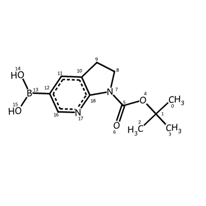 CC(C)(C)OC(=O)N1CCc2cc(B(O)O)cnc21